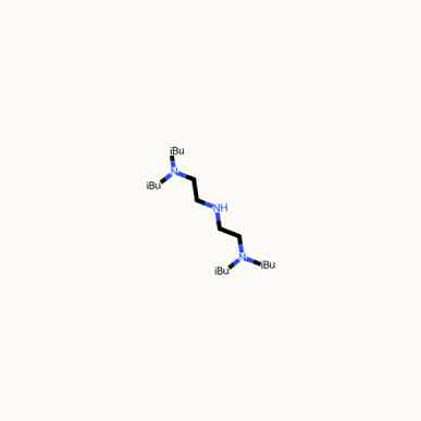 CCC(C)N(CCNCCN(C(C)CC)C(C)CC)C(C)CC